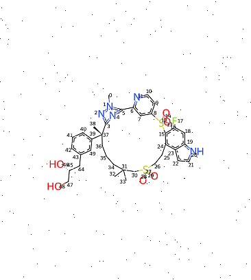 Cn1nc2nc1-c1cc(ccn1)S(=O)(=O)c1c(F)cc3[nH]ccc3c1CCS(=O)(=O)CC(C)(C)CCC[C@]2(C)c1cccc(C[C@@H](O)CO)c1